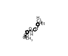 CCOc1cc(CN2CCC(NC(=O)c3cccc(OS(C)(=O)=O)c3)CC2)ccc1C